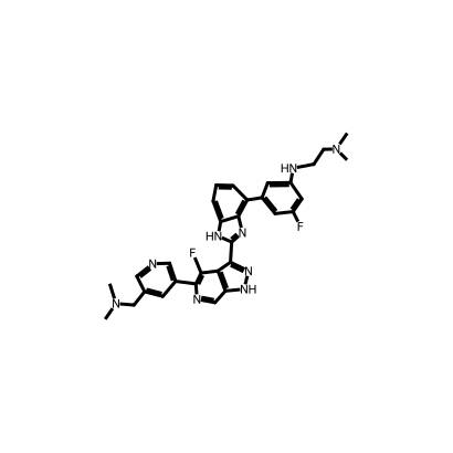 CN(C)CCNc1cc(F)cc(-c2cccc3[nH]c(-c4n[nH]c5cnc(-c6cncc(CN(C)C)c6)c(F)c45)nc23)c1